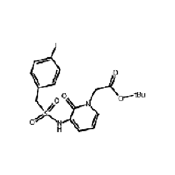 CC(C)(C)OC(=O)Cn1cccc(NS(=O)(=O)Cc2ccc(I)cc2)c1=O